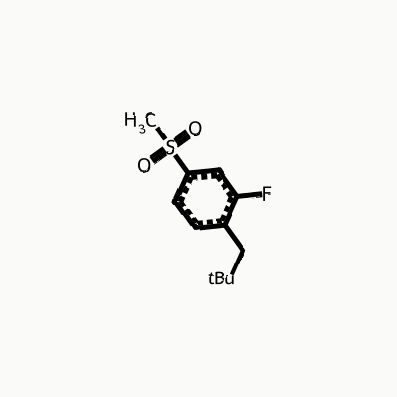 CC(C)(C)Cc1ccc(S(C)(=O)=O)cc1F